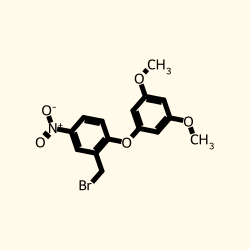 COc1cc(OC)cc(Oc2ccc([N+](=O)[O-])cc2CBr)c1